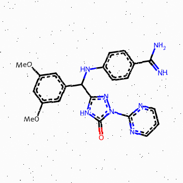 COc1cc(OC)cc(C(Nc2ccc(C(=N)N)cc2)c2nn(-c3ncccn3)c(=O)[nH]2)c1